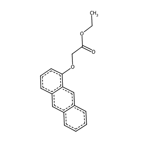 CCOC(=O)COc1cccc2cc3ccccc3cc12